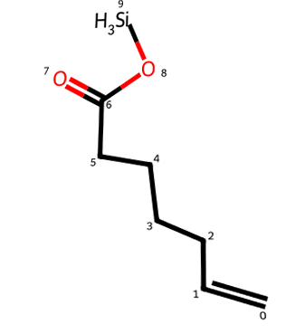 C=CCCCCC(=O)O[SiH3]